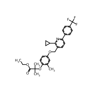 CCOC(=O)C(C)(C)Oc1ccc(OCc2ccc(-c3ccc(C(F)(F)F)cc3)nc2C2CC2)cc1C